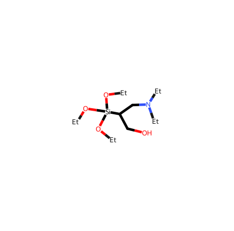 CCO[Si](OCC)(OCC)C(CO)CN(CC)CC